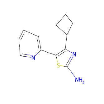 Nc1nc(C2CCC2)c(-c2ccccn2)s1